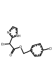 CCC(C(=O)OCc1ccc(Cl)cc1)c1ncc[nH]1